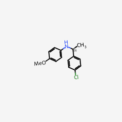 COc1ccc(N[C@@H](C)c2ccc(Cl)cc2)cc1